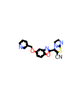 N#CC1=C(c2nc3cc(OCc4cccnc4)ccc3o2)N2CCN=C2S1